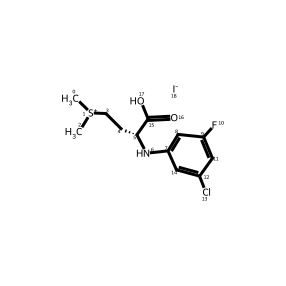 C[S+](C)CC[C@@H](Nc1cc(F)cc(Cl)c1)C(=O)O.[I-]